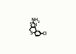 Nc1nc2c(s1)CSc1ccc(Cl)cc1-2